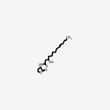 CCCCC=CCCCCCC(O)CC(=O)N[C@H]1CCOC1=O